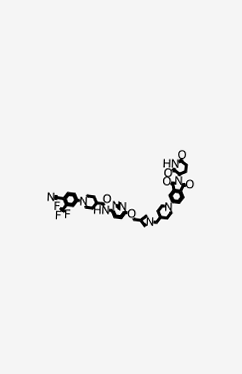 N#Cc1ccc(N2CCC(C(=O)Nc3ccc(OCC4CN(CC5CCN(c6ccc7c(c6)C(=O)N(C6CCC(=O)NC6=O)C7=O)CC5)C4)nn3)CC2)cc1C(F)(F)F